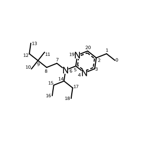 CCc1cnc(N(CCC(C)(C)CC)C(CC)CC)nc1